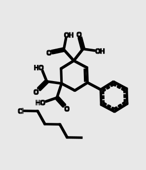 CCCCCCl.O=C(O)C1(C(=O)O)C=C(c2ccccc2)CC(C(=O)O)(C(=O)O)C1